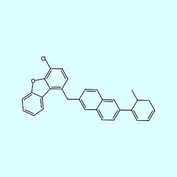 CC1CC=CC=C1c1ccc2cc(Cc3ccc(Cl)c4oc5ccccc5c34)ccc2c1